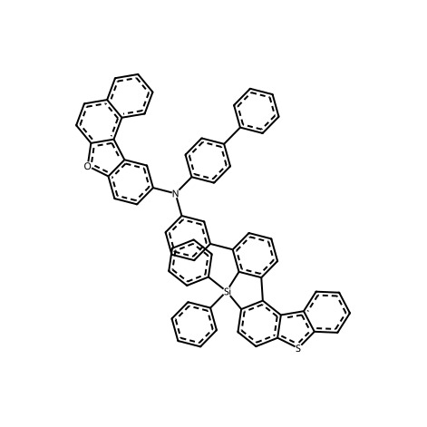 c1ccc(-c2ccc(N(c3cccc(-c4cccc5c4[Si](c4ccccc4)(c4ccccc4)c4ccc6sc7ccccc7c6c4-5)c3)c3ccc4oc5ccc6ccccc6c5c4c3)cc2)cc1